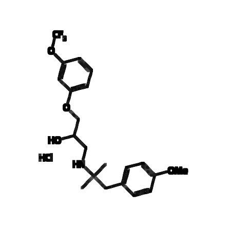 COc1ccc(CC(C)(C)NCC(O)COc2cccc(OC(F)(F)F)c2)cc1.Cl